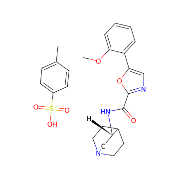 COc1ccccc1-c1cnc(C(=O)N[C@H]2CN3CCC2CC3)o1.Cc1ccc(S(=O)(=O)O)cc1